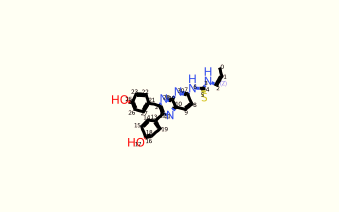 C/C=C\NC(=S)Nc1ccc2nc(-c3ccc(O)cc3)c(-c3ccc(O)cc3)nc2n1